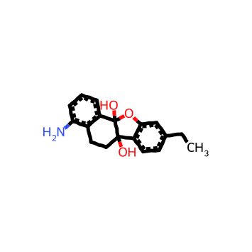 CCc1ccc2c(c1)OC1(O)c3cccc(N)c3CCC21O